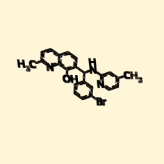 Cc1ccnc(NC(c2cccc(Br)c2)c2ccc3ccc(C)nc3c2O)c1